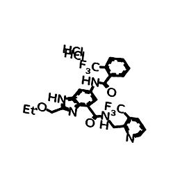 CCOCc1nc2c(C(=O)NCc3ncccc3C(F)(F)F)cc(NC(=O)c3ccccc3C(F)(F)F)cc2[nH]1.Cl.Cl